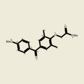 COC(=O)COc1c(C)cc(C(=O)c2ccc(OC)cc2)cc1C